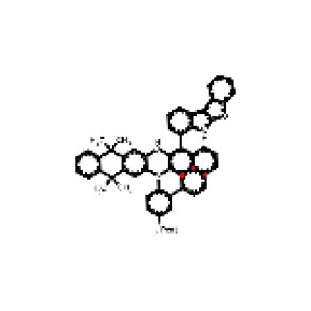 CCC[C@H](C)c1ccc(N2c3cc4c(cc3Bc3c2cc2ccccc2c3-c2cccc3c2[nH]c2oc5ccccc5c23)C(C)(C)c2ccccc2C4(C)C)c(-c2ccccc2)c1